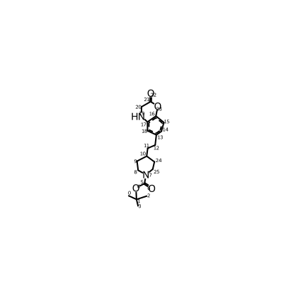 CC(C)(C)OC(=O)N1CCC(CCc2ccc3c(c2)NCC(=O)O3)CC1